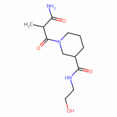 C[C](C(N)=O)C(=O)N1CCCC(C(=O)NCCO)C1